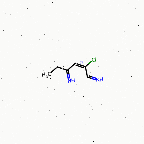 CCC(=N)/C=C(/Cl)C=N